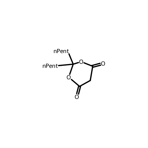 CCCCCC1(CCCCC)OC(=O)CC(=O)O1